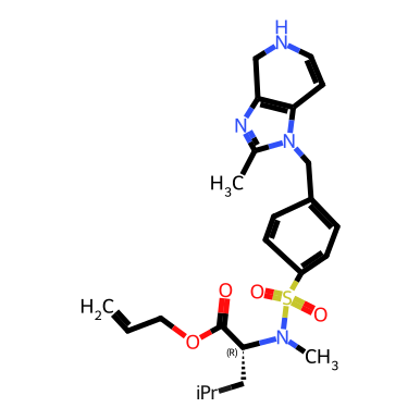 C=CCOC(=O)[C@@H](CC(C)C)N(C)S(=O)(=O)c1ccc(Cn2c(C)nc3c2C=CNC3)cc1